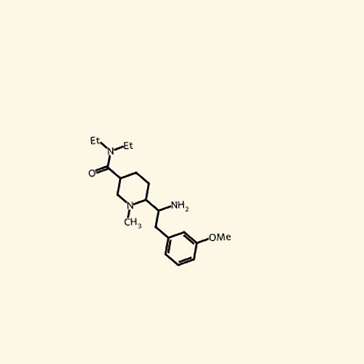 CCN(CC)C(=O)C1CCC(C(N)Cc2cccc(OC)c2)N(C)C1